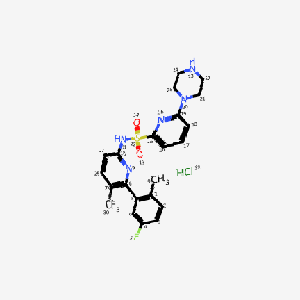 Cc1ccc(F)cc1-c1nc(NS(=O)(=O)c2cccc(N3CCNCC3)n2)ccc1C(F)(F)F.Cl